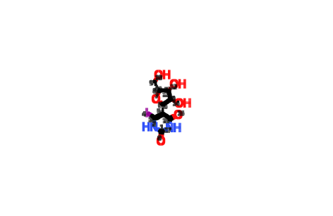 O=c1[nH]c(I)c([C@@H]2O[C@H](CO)[C@@H](O)[C@H]2O)c(=O)[nH]1